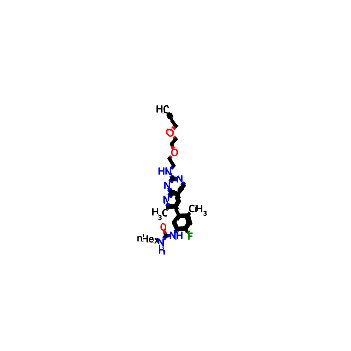 C#CCOCCOCCNc1ncc2cc(-c3cc(NC(=O)NCCCCCC)c(F)cc3C)c(C)nc2n1